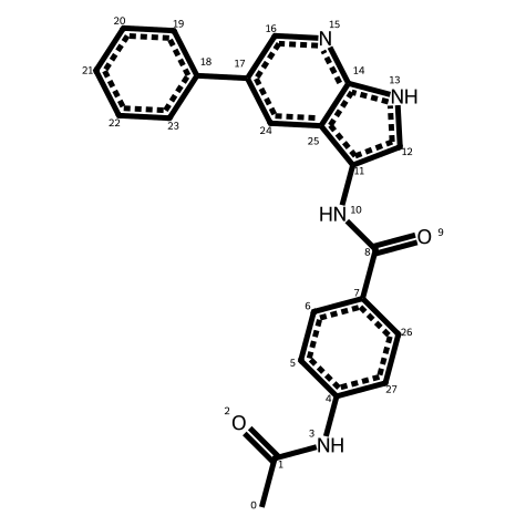 CC(=O)Nc1ccc(C(=O)Nc2c[nH]c3ncc(-c4ccccc4)cc23)cc1